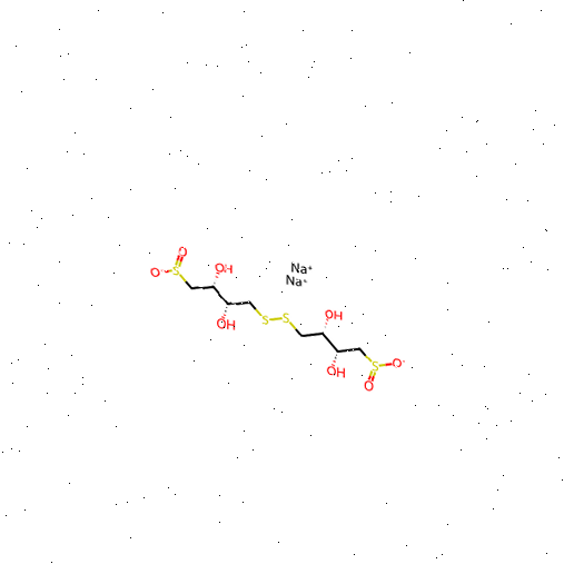 O=S([O-])C[C@H](O)[C@@H](O)CSSC[C@H](O)[C@@H](O)CS(=O)[O-].[Na+].[Na+]